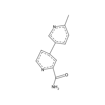 Cc1ccc(-c2ccnc(C(N)=O)c2)cn1